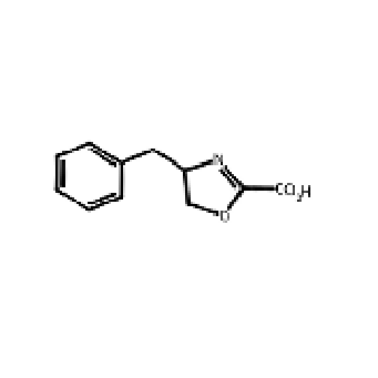 O=C(O)C1=NC(Cc2ccccc2)CO1